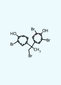 CC(CBr)(c1ccc(O)c(Br)c1)c1cc(Br)c(O)c(Br)c1